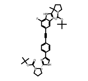 CC(C)(C)OC(=O)N1CCC[C@H]1c1nc(-c2ccc(C#Cc3cc(F)c4[nH]c(C5(C)CCCN5C(=O)OC(C)(C)C)nc4c3)cc2)c[nH]1